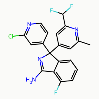 Cc1cc(C2(c3ccnc(Cl)c3)N=C(N)c3c(F)cccc32)cc(C(F)F)n1